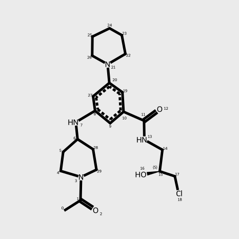 CC(=O)N1CCC(Nc2cc(C(=O)NC[C@H](O)CCl)cc(N3CCCCC3)c2)CC1